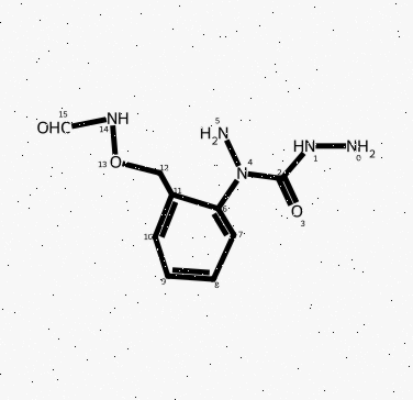 NNC(=O)N(N)c1ccccc1CONC=O